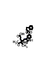 CC(=O)c1c(C)[nH]c(/C=C2\C(=O)Nc3ccc(S(=O)(=O)N4CCc5ccccc54)cc32)c1CCC(=O)O